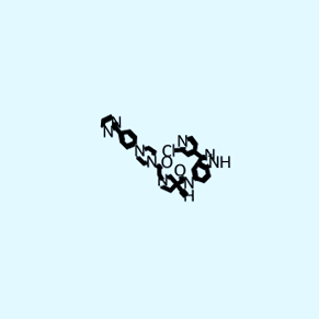 C#CC1(C(=O)Nc2ccc3[nH]nc(-c4ccnc(Cl)c4)c3c2)CCN(CC(=O)N2CCN(c3ccc(-c4ncccn4)cc3)CC2)C1